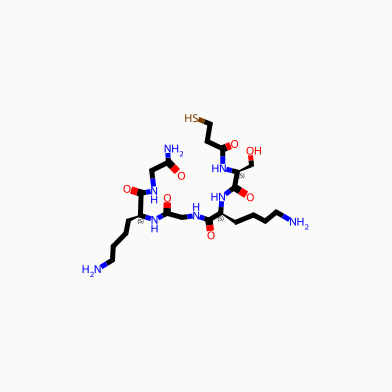 NCCCC[C@H](NC(=O)CNC(=O)[C@H](CCCCN)NC(=O)[C@H](CO)NC(=O)CCS)C(=O)NCC(N)=O